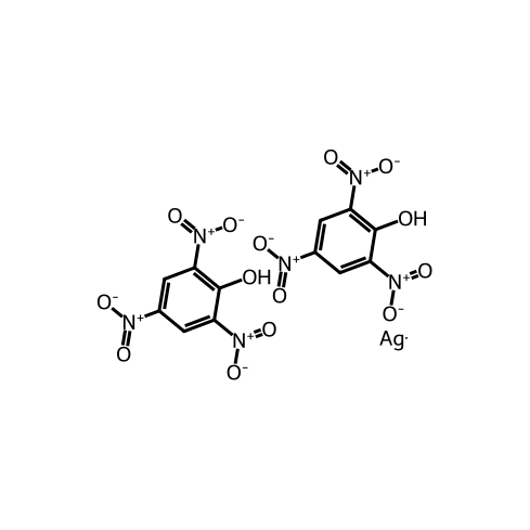 O=[N+]([O-])c1cc([N+](=O)[O-])c(O)c([N+](=O)[O-])c1.O=[N+]([O-])c1cc([N+](=O)[O-])c(O)c([N+](=O)[O-])c1.[Ag]